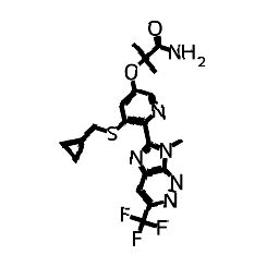 Cn1c(-c2ncc(OC(C)(C)C(N)=O)cc2SCC2CC2)nc2cc(C(F)(F)F)nnc21